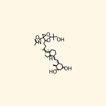 C=C1/C(=C\C=C2/CCC[C@]3(C)[C@@H]([C@H](C)CC[C@H](OC(=O)C(C)(C)CO)C4(c5nc(C)co5)CC4)CC[C@@H]23)C[C@@H](O)C[C@@H]1O